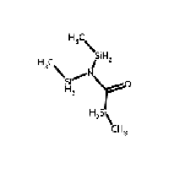 C[SiH2]C(=O)N([SiH2]C)[SiH2]C